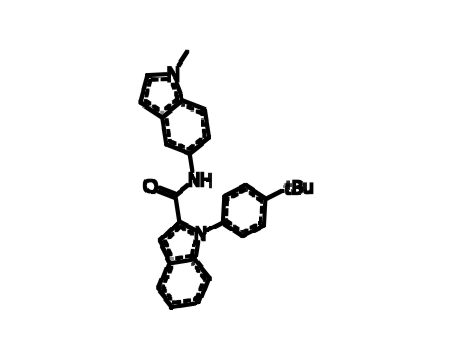 Cn1ccc2cc(NC(=O)c3cc4ccccc4n3-c3ccc(C(C)(C)C)cc3)ccc21